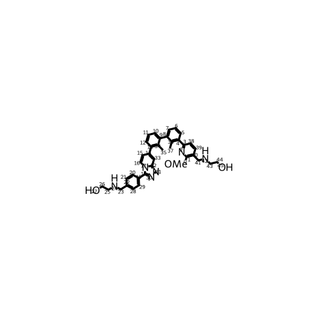 COc1nc(-c2cccc(-c3cccc(-c4ccn5c(-c6ccc(CNCCO)cc6)nnc5c4)c3C)c2C)ccc1CNCCO